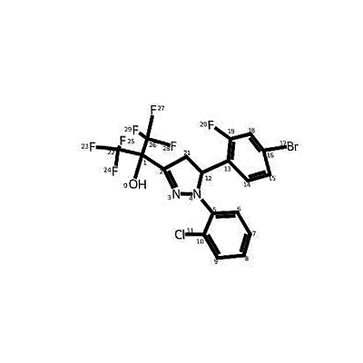 OC(C1=NN(c2ccccc2Cl)C(c2ccc(Br)cc2F)C1)(C(F)(F)F)C(F)(F)F